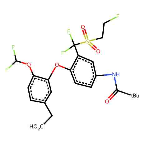 CC(C)(C)C(=O)Nc1ccc(Oc2cc(CC(=O)O)ccc2OC(F)F)c(C(F)(F)S(=O)(=O)CCF)c1